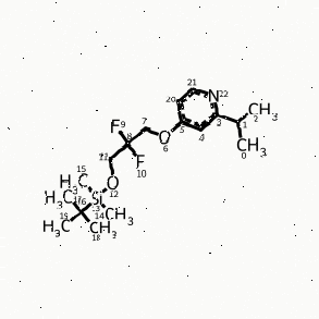 CC(C)c1cc(OCC(F)(F)CO[Si](C)(C)C(C)(C)C)ccn1